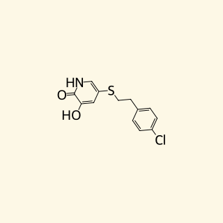 O=c1[nH]cc(SCCc2ccc(Cl)cc2)cc1O